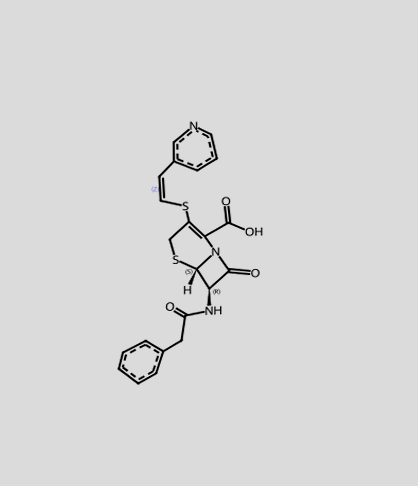 O=C(Cc1ccccc1)N[C@@H]1C(=O)N2C(C(=O)O)=C(S/C=C\c3cccnc3)CS[C@@H]12